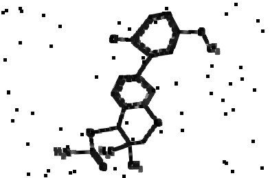 CC1(C)COc2cc(-c3cc(OC(F)(F)F)ccc3Cl)ccc2C1OC(N)=O